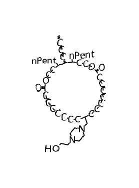 C=C=C=C=C1C(CCCCC)CCOC(=O)CCCCCCCC(CN2CCN(CCO)CC2)CCCCCCCC(=O)OCCC1CCCCC